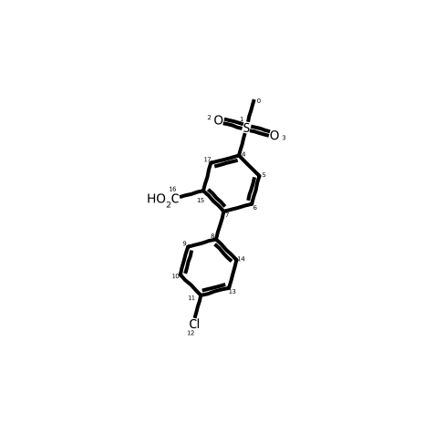 CS(=O)(=O)c1ccc(-c2ccc(Cl)cc2)c(C(=O)O)c1